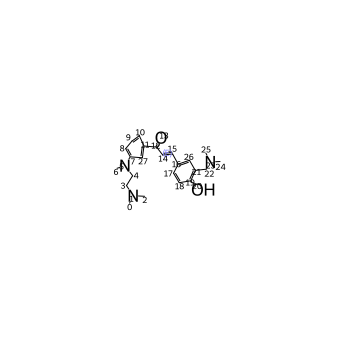 CN(C)CCN(C)c1cccc(C(=O)/C=C/c2ccc(O)c(CN(C)C)c2)c1